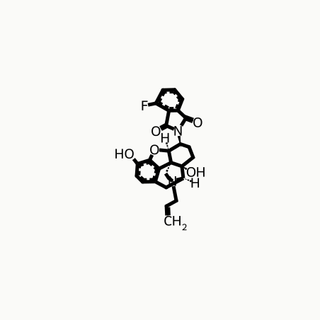 C=CCN1CC[C@]23c4c5ccc(O)c4O[C@H]2[C@@H](N2C(=O)c4cccc(F)c4C2=O)CC[C@@]3(O)[C@H]1C5